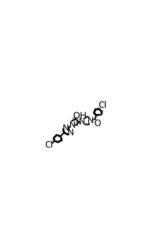 O=C(c1ccc(Cl)cc1)N1CCN([C@@H]2CN(c3ncc(-c4ccc(Cl)cc4)cn3)C[C@H]2O)CC1